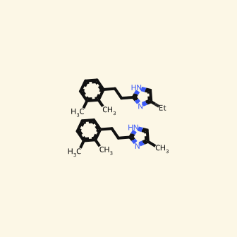 CCc1c[nH]c(CCc2cccc(C)c2C)n1.Cc1c[nH]c(CCc2cccc(C)c2C)n1